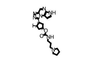 O=C(NCCCN1CCCC1)O[C@H]1C[C@@H](I)[C@@H](c2nnc3cnc4[nH]ccc4n23)C1